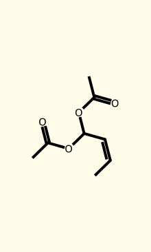 C/C=C\C(OC(C)=O)OC(C)=O